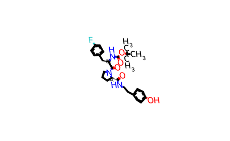 CC(C)(C)OC(=O)N[C@H](Cc1ccc(F)cc1)C(=O)N1CCC[C@H]1C(=O)NCCc1ccc(O)cc1